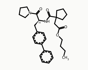 CCCCOC(=O)CC1(C(=O)N[C@@H](Cc2ccc(-c3ccccc3)cc2)C(=O)N2CCCC2)CCCC1